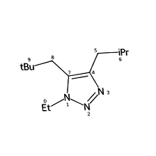 CCn1nnc(CC(C)C)c1CC(C)(C)C